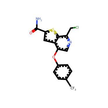 NC(=O)c1cc2c(Oc3ccc(C(F)(F)F)cc3)cnc(CCl)c2s1